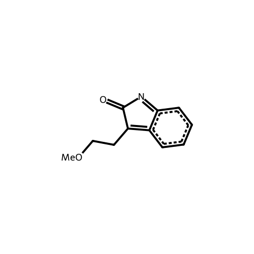 COCCC1=c2ccccc2=NC1=O